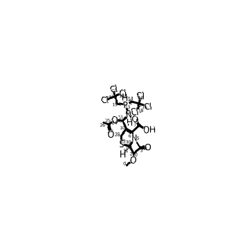 CO[C@H]1C(=O)N2C(C(=O)O)=C(C(N[PH2](CC(Cl)(Cl)Cl)CC(Cl)(Cl)Cl)OC(C)=O)CS[C@H]12